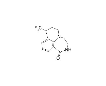 O=C1NCCN2CCC(C(F)(F)F)c3cccc1c32